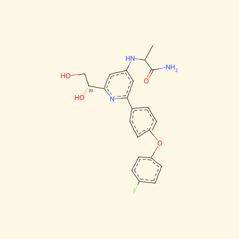 CC(Nc1cc(-c2ccc(Oc3ccc(F)cc3)cc2)nc([C@H](O)CO)c1)C(N)=O